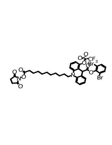 O=C(CCCCCCCCCCN1c2ccccc2C(C(=O)Oc2c(Br)cccc2Br)c2c(OS(=O)(=O)C(F)(F)F)cccc21)ON1C(=O)CCC1=O